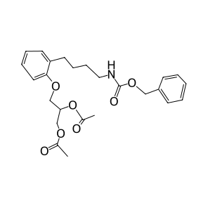 CC(=O)OCC(COc1ccccc1CCCCNC(=O)OCc1ccccc1)OC(C)=O